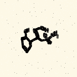 NS(=O)(=O)CC(=NO)c1ccccc1O